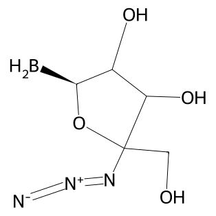 B[C@@H]1OC(CO)(N=[N+]=[N-])C(O)C1O